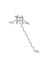 CCCCCCCCCCCCCCCCC(C(=O)O)(S(=O)(=O)CC)S(=O)(=O)CC